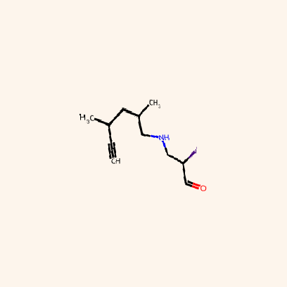 C#CC(C)CC(C)CNCC(I)C=O